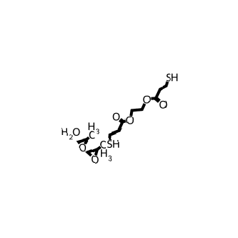 CC1CO1.CC1CO1.O.O=C(CCS)OCCOC(=O)CCS